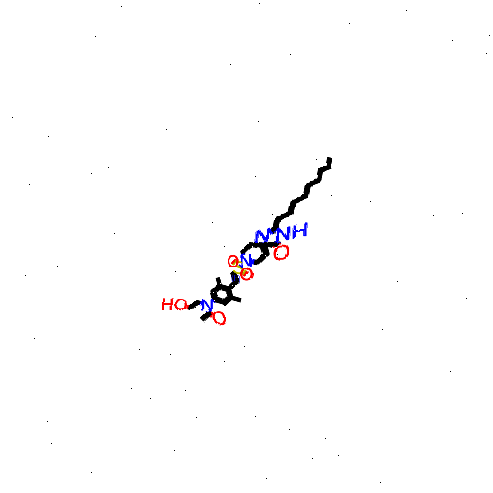 CCCCCCCCCC1=NC2(CCN(S(=O)(=O)/C=C/c3c(C)cc(N(CCO)C(C)=O)cc3C)CC2)C(=O)N1